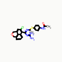 C=C(/N=C(\N=C(N)N)c1c(Cl)cc2c3c(cccc13)COC2)Sc1ccc(NC(C)=O)cc1